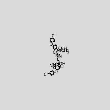 C=CC(Cn1cnc(C=CC(O)(Cn2cncn2)c2ccc(Oc3ccc(Cl)cc3)cc2Cl)n1)(OC)c1ccc(Oc2ccc(Cl)cc2)cc1Cl